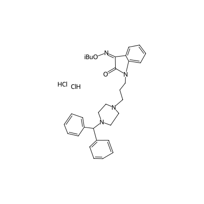 CC(C)CON=C1C(=O)N(CCCN2CCN(C(c3ccccc3)c3ccccc3)CC2)c2ccccc21.Cl.Cl